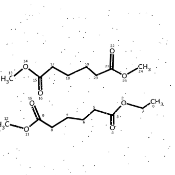 CCOC(=O)CCCCC(=O)OC.COC(=O)CCCCC(=O)OC